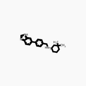 CC1(C)CCC[C@H](NCc2ccc(-c3ccc4nc[nH]c4c3)cc2)C1